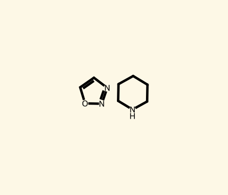 C1CCNCC1.c1conn1